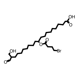 O=CC(CO)CCCCCCCCC(CCCCCCCCCC(=O)O)OC(=O)CCCBr